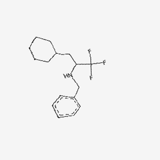 FC(F)(F)C(CC1CCCCC1)NCc1ccccc1